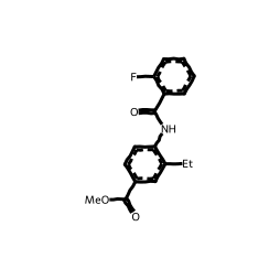 CCc1cc(C(=O)OC)ccc1NC(=O)c1ccccc1F